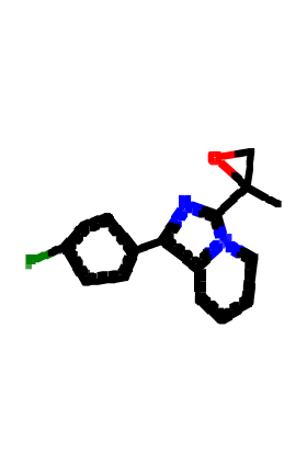 CC1(c2nc(-c3ccc(F)cc3)c3ccccn23)CO1